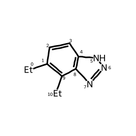 CCc1ccc2[nH]nnc2c1CC